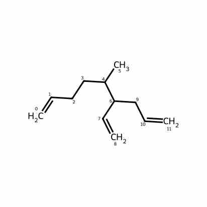 C=CCCC(C)C(C=C)CC=C